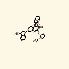 CN1CCC[C@H]1COc1nc2c(c(N3CC4CCC(C3)N4C(=O)OC(C)(C)C)n1)CCN(C1CC(O)c3ccccc31)C2